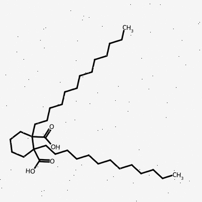 CCCCCCCCCCCCCC1(C(=O)O)CCCCC1(CCCCCCCCCCCCC)C(=O)O